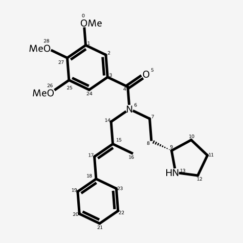 COc1cc(C(=O)N(CC[C@@H]2CCCN2)C/C(C)=C/c2ccccc2)cc(OC)c1OC